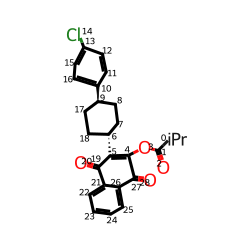 CC(C)C(=O)OC1=C([C@H]2CC[C@H](c3ccc(Cl)cc3)CC2)C(=O)c2ccccc2C1=O